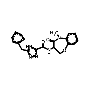 CN1C(=O)C(NC(=O)c2nnc(Cc3ccccc3)[nH]2)COc2ccccc21